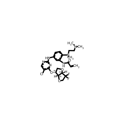 C=CC(=O)Nc1cc(Nc2ncc(Cl)c(O[C@@H]3CO[C@H]4[C@@H]3OCC4(F)F)n2)ccc1N(C)CCN(C)C